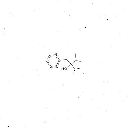 CC(C)C(O)(Cc1ncccn1)C(C)C